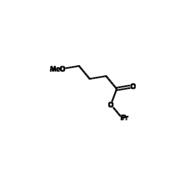 COCCCC(=O)OC(C)C